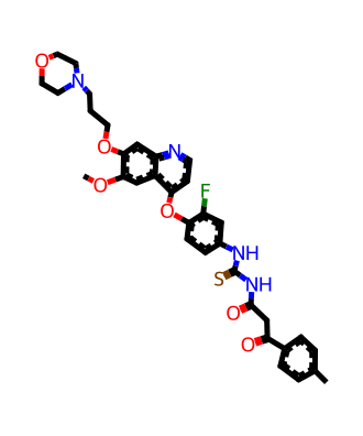 COc1cc2c(Oc3ccc(NC(=S)NC(=O)CC(=O)c4ccc(C)cc4)cc3F)ccnc2cc1OCCCN1CCOCC1